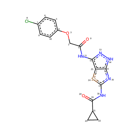 O=C(COc1ccc(Cl)cc1)Nc1n[nH]c2nc(NC(=O)C3CC3)sc12